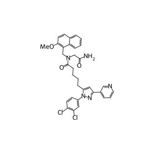 COc1ccc2ccccc2c1CN(CC(N)=O)C(=O)CCCCc1cc(-c2cccnc2)nn1-c1ccc(Cl)c(Cl)c1